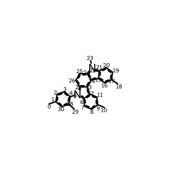 Cc1ccc(-n2c3ccc(C)cc3c3c4c5cc(C)ccc5n(C)c4ccc32)c(C)c1